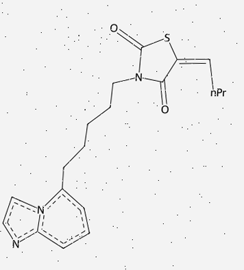 CCC/C=C1/SC(=O)N(CCCCCc2cccc3nccn23)C1=O